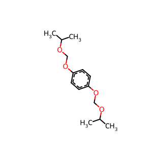 CC(C)OCOc1ccc(OCOC(C)C)cc1